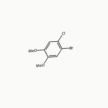 COc1cc(Cl)c(Br)cc1OC